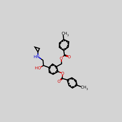 Cc1ccc(C(=O)OCc2cc(C(O)CNC3CC3)ccc2OC(=O)c2ccc(C)cc2)cc1